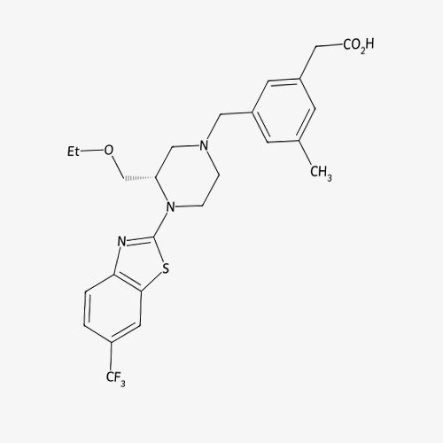 CCOC[C@@H]1CN(Cc2cc(C)cc(CC(=O)O)c2)CCN1c1nc2ccc(C(F)(F)F)cc2s1